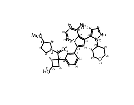 COC1CCN(C(=O)C2(c3cccc(-c4cc(-c5ccnn5C5CCOCC5)c5c(N)ncnn45)c3)CC(O)C2)C1